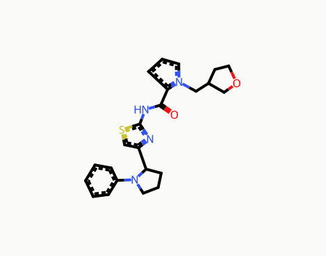 O=C(Nc1nc(C2CCCN2c2ccccc2)cs1)c1cccn1CC1CCOC1